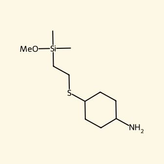 CO[Si](C)(C)CCSC1CCC(N)CC1